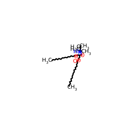 CCCCCCCCCCCCCCCCCOCC(CCOC(=O)CCCCCCCCCCCCCCCCC)C(=O)N1NC(C)(CC(C)C)C1C